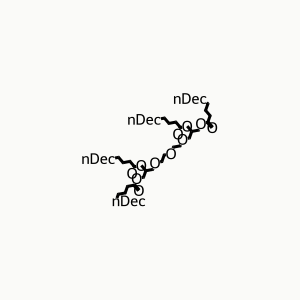 CCCCCCCCCCCCCC(=O)OCC(COCCOCCOCC(COC(=O)CCCCCCCCCCCCC)OC(=O)CCCCCCCCCCCCC)OC(=O)CCCCCCCCCCCCC